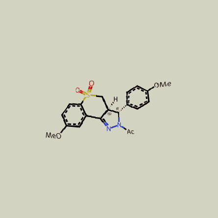 COc1ccc([C@H]2[C@@H]3CS(=O)(=O)c4ccc(OC)cc4C3=NN2C(C)=O)cc1